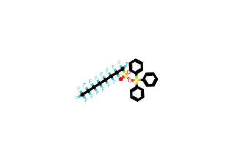 O=S(=O)(OS(c1ccccc1)(c1ccccc1)c1ccccc1)C(F)(F)C(F)(F)C(F)(F)C(F)(F)C(F)(F)C(F)(F)C(F)(F)C(F)(F)F